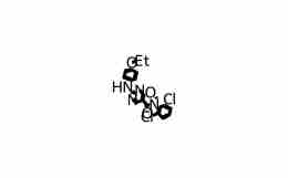 [CH2]COc1ccc(Nc2ncc3c(n2)OCN(c2c(Cl)cccc2Cl)C3=O)cc1